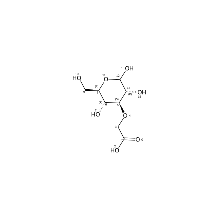 O=C(O)CO[C@H]1[C@H](O)[C@@H](CO)OC(O)[C@@H]1O